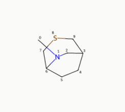 CN1CC2CCC1CSC2